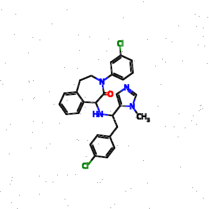 Cn1cncc1C(Cc1ccc(Cl)cc1)NC1C(=O)N(c2cccc(Cl)c2)CCc2ccccc21